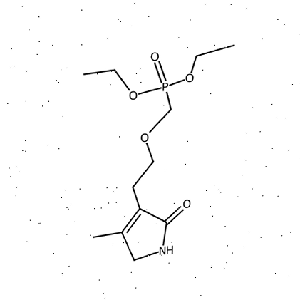 CCOP(=O)(COCCC1=C(C)CNC1=O)OCC